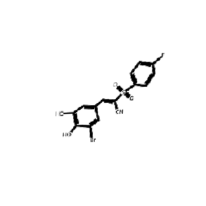 N#C/C(=C\c1cc(O)c(O)c(Br)c1)S(=O)(=O)c1ccc(F)cc1